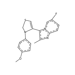 COc1ccc(N2CSC=C2c2c(C)nc3ccc(F)cn23)cc1